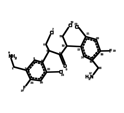 NCc1cc(C(CCl)C(=O)C(CCl)c2cc(CN)c(F)cc2Cl)c(Cl)cc1F